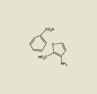 Nc1ccsc1C(=O)O.O=C(O)c1ccccc1